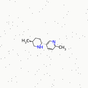 Cc1ccc([C@H]2CC[C@H](C)CN2)cn1